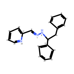 C(=NNC(Cc1ccccc1)c1ccccc1)c1ccccn1